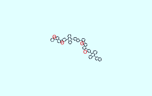 C1=Cc2oc3ccc4c(ccc5oc6cc(-c7c8ccccc8c(-c8ccc9cc(-c%10cccc%11c%10oc%10c%11ccc%11c%10ccc%10oc%12cc(-c%13c%14ccccc%14c(-c%14ccc%15ccccc%15c%14)c%14ccccc%13%14)ccc%12c%10%11)ccc9c8)c8ccccc78)ccc6c54)c3c2CC1